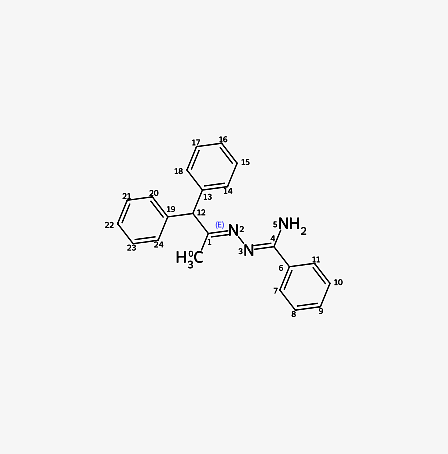 C/C(=N\N=C(N)c1ccccc1)C(c1ccccc1)c1ccccc1